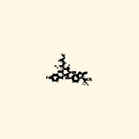 CC(C)N1C(=O)Cc2cc(NC3N(N)C(=O)N([C@@H](C)CC(=O)N=O)C(=O)N3Cc3ccc(Cl)cc3)ccc21